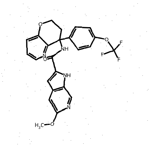 COc1cc2cc(C(=O)NC3(c4ccc(OC(F)(F)F)cc4)CCOc4cccnc43)[nH]c2cn1